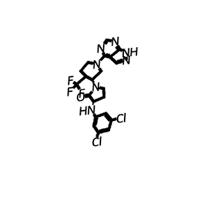 O=C1[C@@H](Nc2cc(Cl)cc(Cl)c2)CCN1[C@@H]1CN(c2ncnc3[nH]ncc23)CCC1C(F)(F)F